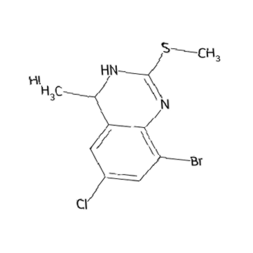 CSC1=Nc2c(Br)cc(Cl)cc2C(C)N1.I